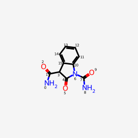 NC(=O)C1C(=O)N(C(N)=O)c2ccccc21